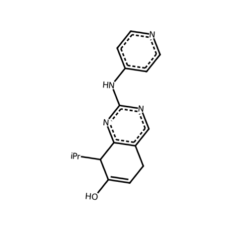 CC(C)C1C(O)=CCc2cnc(Nc3ccncc3)nc21